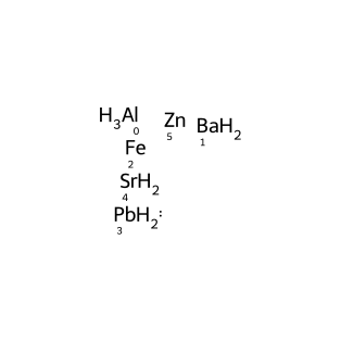 [AlH3].[BaH2].[Fe].[PbH2].[SrH2].[Zn]